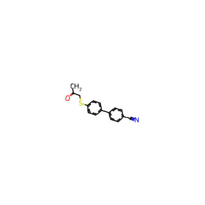 CC(=O)CSc1ccc(-c2ccc(C#N)cc2)cc1